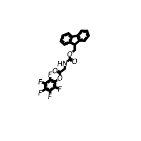 O=C(CNC(=O)OCC1c2ccccc2-c2ccccc21)Oc1c(F)c(F)c(F)c(F)c1F